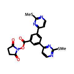 CSc1nccc(-c2cc(C(=O)ON3C(=O)CCC3=O)cc(-c3ccnc(SC)n3)c2)n1